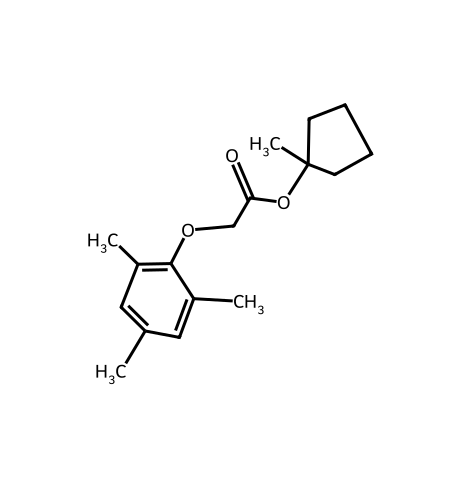 Cc1cc(C)c(OCC(=O)OC2(C)CCCC2)c(C)c1